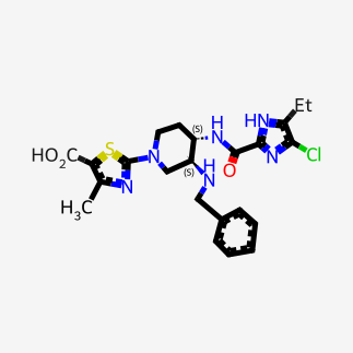 CCc1[nH]c(C(=O)N[C@H]2CCN(c3nc(C)c(C(=O)O)s3)C[C@@H]2NCc2ccccc2)nc1Cl